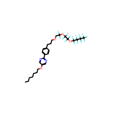 CCCCCCCOc1cnc(-c2ccc(CCCOCC(F)(F)OC(F)(F)C(F)(F)OC(F)(F)C(F)(F)C(F)(F)C(F)(F)F)cc2)nc1